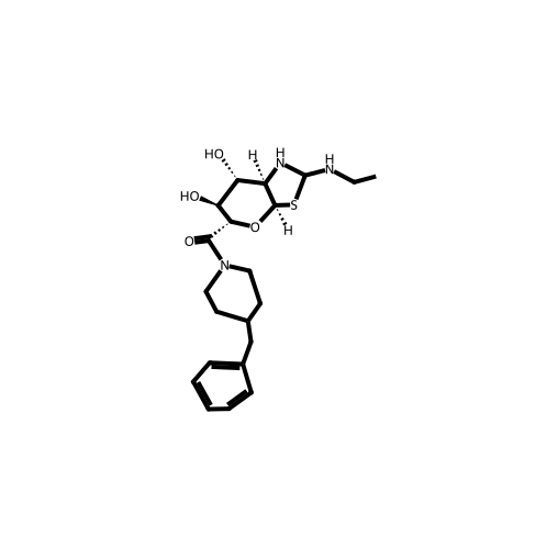 CCNC1N[C@@H]2[C@@H](O)[C@H](O)[C@@H](C(=O)N3CCC(Cc4ccccc4)CC3)O[C@@H]2S1